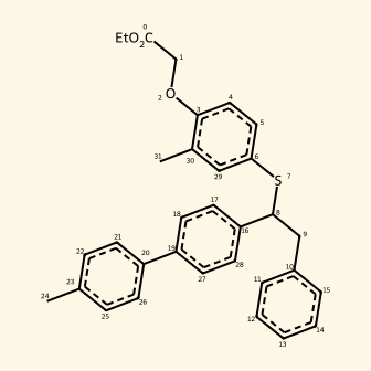 CCOC(=O)COc1ccc(SC(Cc2ccccc2)c2ccc(-c3ccc(C)cc3)cc2)cc1C